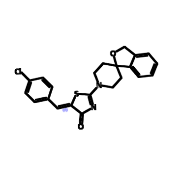 O=C1N=C(N2CCC3(CC2)OCc2ccccc23)S/C1=C\c1ccc(Cl)cc1